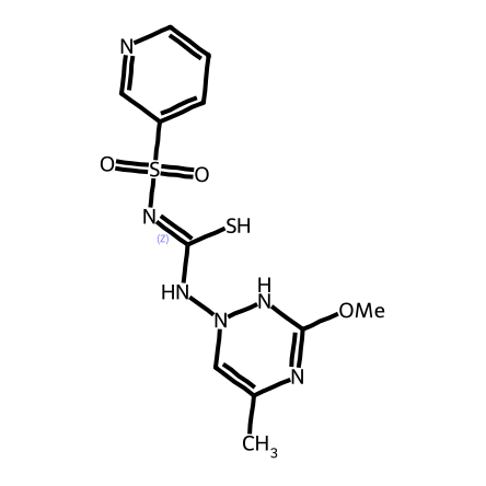 COC1=NC(C)=CN(N/C(S)=N/S(=O)(=O)c2cccnc2)N1